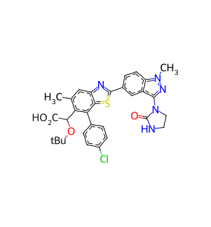 Cc1cc2nc(-c3ccc4c(c3)c(N3CCNC3=O)nn4C)sc2c(-c2ccc(Cl)cc2)c1C(OC(C)(C)C)C(=O)O